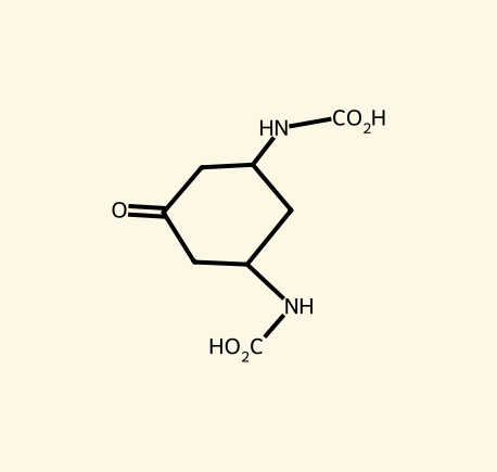 O=C1CC(NC(=O)O)CC(NC(=O)O)C1